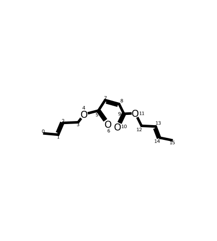 CC=CCOC(=O)/C=C\C(=O)OCC=CC